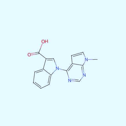 Cn1ccc2c(-n3cc(C(=O)O)c4ccccc43)ncnc21